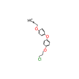 C#CCOc1ccc(Oc2ccc(OCCCCl)cc2)cc1